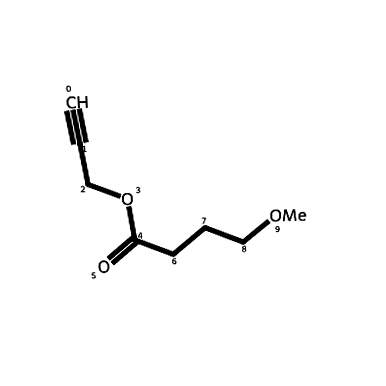 C#CCOC(=O)CCCOC